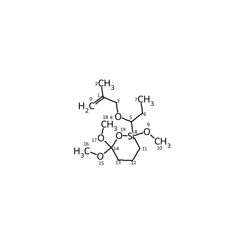 C=C(C)COC(CC)[Si]1(OC)CCCC(OC)(OC)O1